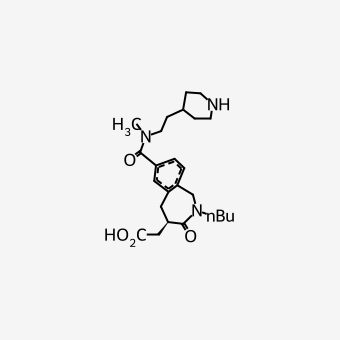 CCCCN1Cc2ccc(C(=O)N(C)CCC3CCNCC3)cc2C[C@H](CC(=O)O)C1=O